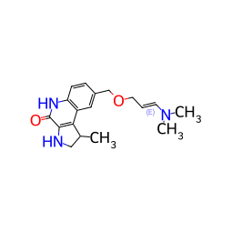 CC1CNc2c1c1cc(COC/C=C/N(C)C)ccc1[nH]c2=O